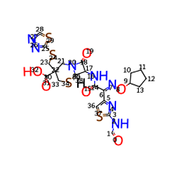 O=CNc1nc(C(=NOC2CCCC2)C(=O)NC2C(=O)N3CC(CSc4nncs4)(C(=O)O)CS[C@H]23)cs1